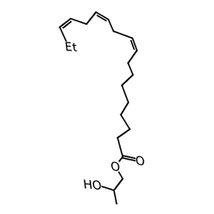 CC/C=C\C/C=C\C/C=C\CCCCCCCC(=O)OCC(C)O